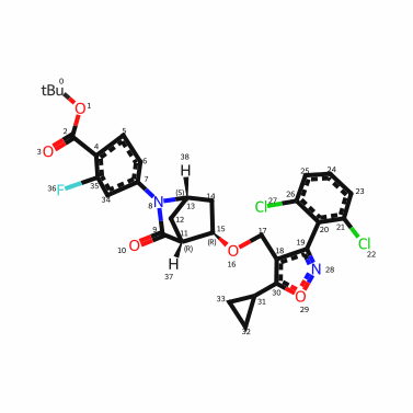 CC(C)(C)OC(=O)c1ccc(N2C(=O)[C@@H]3C[C@H]2C[C@H]3OCc2c(-c3c(Cl)cccc3Cl)noc2C2CC2)cc1F